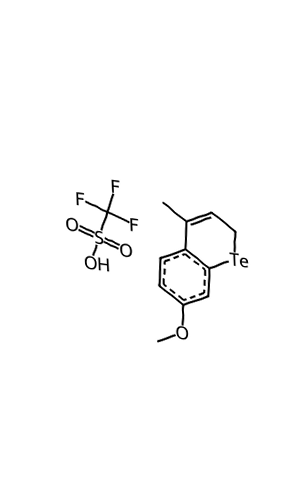 COc1ccc2c(c1)[Te]CC=C2C.O=S(=O)(O)C(F)(F)F